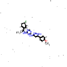 COc1ccc(-c2cc(Nc3ncnc(NC(C)c4ccc(F)cc4)n3)n[nH]2)cc1